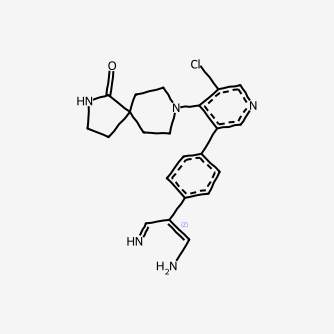 N=C/C(=C\N)c1ccc(-c2cncc(Cl)c2N2CCC3(CCNC3=O)CC2)cc1